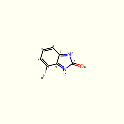 O=C1N=c2cccc(F)c2=N1